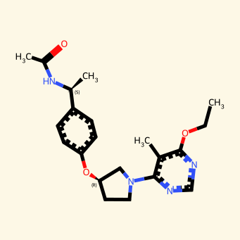 CCOc1ncnc(N2CC[C@@H](Oc3ccc([C@H](C)NC(C)=O)cc3)C2)c1C